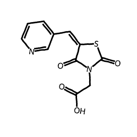 O=C(O)CN1C(=O)SC(=Cc2cccnc2)C1=O